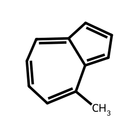 Cc1ccccc2cccc1-2